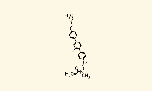 C=CC(=O)N(C)CCOc1ccc(-c2ccc(-c3ccc(CCCCC)cc3)cc2F)cc1